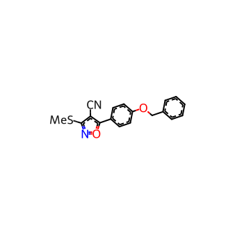 CSc1noc(-c2ccc(OCc3ccccc3)cc2)c1C#N